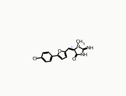 CN1C(=N)NC(=O)/C1=C\c1ccc(-c2ccc(Cl)cc2)o1